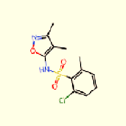 Cc1cccc(Cl)c1S(=O)(=O)Nc1onc(C)c1C